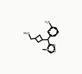 COCC1CC(C(c2cccc(N)c2)c2nncn2C)C1